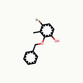 Cc1c(Br)ccc(O)c1OCc1ccccc1